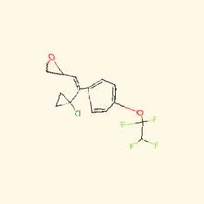 FC(F)C(F)(F)Oc1ccc(C(=CC2CO2)C2(Cl)CC2)cc1